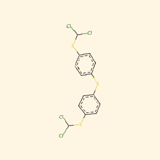 ClC(Cl)Sc1ccc(Sc2ccc(SC(Cl)Cl)cc2)cc1